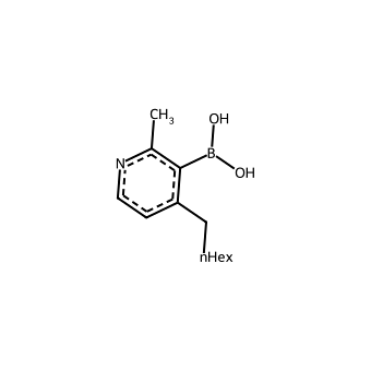 CCCCCCCc1ccnc(C)c1B(O)O